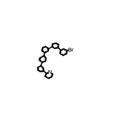 Brc1cccc(-c2cccc(-c3cccc(-c4ccc(-c5cccc(-c6ccccn6)c5)cc4)c3)c2)c1